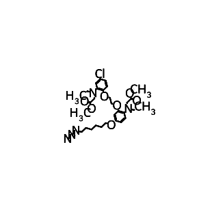 CCN(CC(=O)OC)c1ccc(OCCCCCCN=[N+]=[N-])cc1OCCOc1ccc(Cl)cc1N(CC)CC(=O)OC